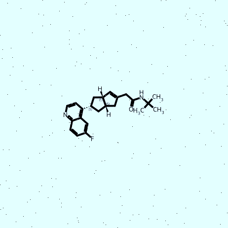 CC(C)(C)NC(=O)CC1=C[C@H]2C[C@@H](c3ccnc4ccc(F)cc34)C[C@H]2C1